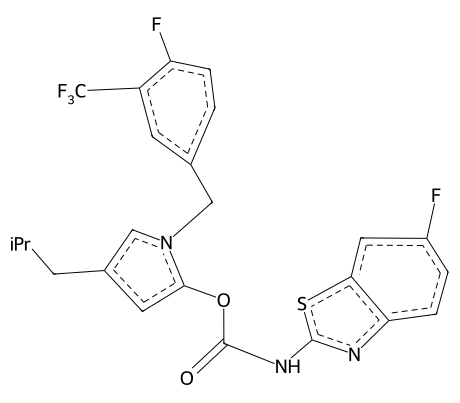 CC(C)Cc1cc(OC(=O)Nc2nc3ccc(F)cc3s2)n(Cc2ccc(F)c(C(F)(F)F)c2)c1